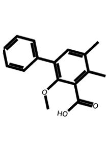 COc1c(-c2ccccc2)cc(C)c(C)c1C(=O)O